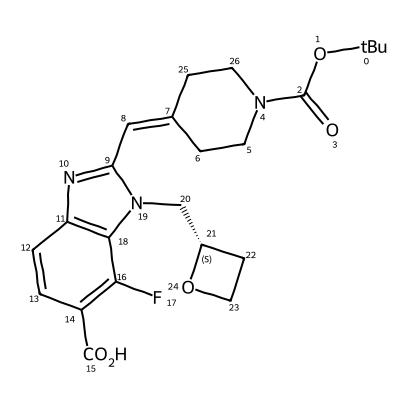 CC(C)(C)OC(=O)N1CCC(=Cc2nc3ccc(C(=O)O)c(F)c3n2C[C@@H]2CCO2)CC1